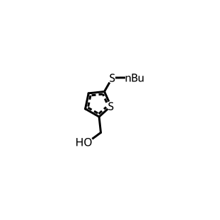 CCCCSc1ccc(CO)s1